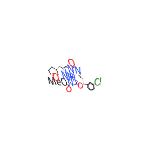 COC(=O)NCCO[C@H](CCN(C)C(=O)NC[C@H](N)C[C@H]1CCCOC1)c1cccc(Cl)c1